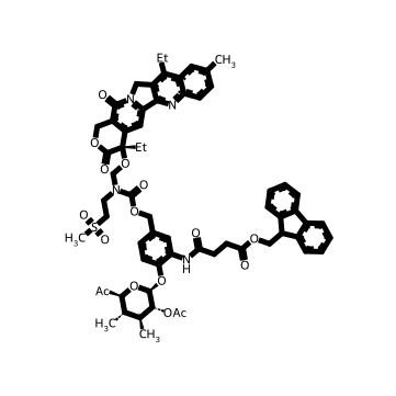 CCc1c2c(nc3ccc(C)cc13)-c1cc3c(c(=O)n1C2)COC(=O)[C@@]3(CC)OCN(CCS(C)(=O)=O)C(=O)OCc1ccc(O[C@@H]2O[C@H](C(C)=O)[C@@H](C)[C@H](C)[C@H]2OC(C)=O)c(NC(=O)CCC(=O)OCC2c3ccccc3-c3ccccc32)c1